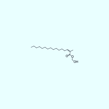 CCCCCCCCCCCCCC=C(C)C(=O)OCO